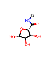 CCNC(=O)[C@H]1O[C@@H](O)[C@H](O)[C@@H]1O